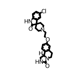 O=C1NC[C@H]2c3ccc(OCCN4CCC5(CC4)C(=O)Nc4ccc(Cl)cc45)cc3CCN12